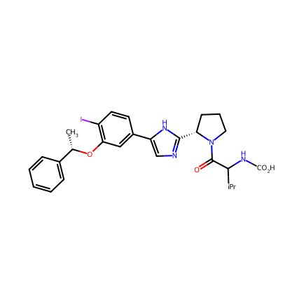 CC(C)C(NC(=O)O)C(=O)N1CCC[C@H]1c1ncc(-c2ccc(I)c(O[C@@H](C)c3ccccc3)c2)[nH]1